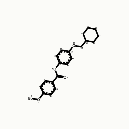 CCOc1ccc(C(=O)Oc2ccc(OCC3CC[CH]CC3)cc2)cc1